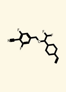 C=CC1CCC(C(OCc2cc(F)c(C#N)c(F)c2)C(F)F)CC1